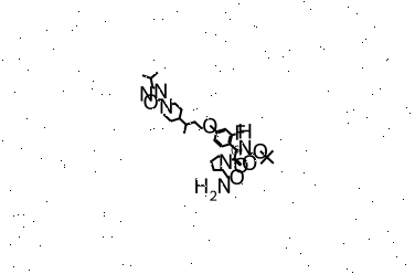 CC(C)c1noc(N2CCC(C(C)CCOc3ccc([C@H](NC(=O)OC(C)(C)C)C(=O)N4CCCC4C(N)=O)c(F)c3)CC2)n1